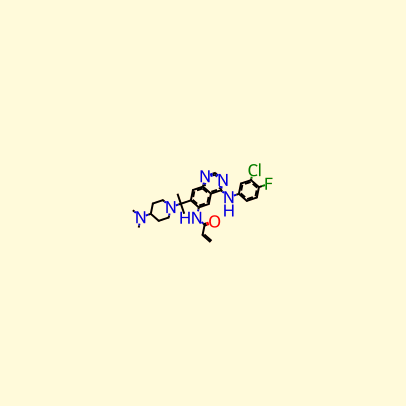 C=CC(=O)Nc1cc2c(Nc3ccc(F)c(Cl)c3)ncnc2cc1C(C)(C)N1CCC(N(C)C)CC1